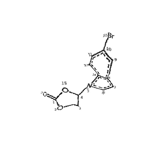 O=C1OCC(n2ccc3cc(Br)ccc32)O1